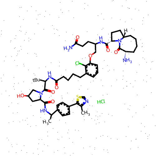 Cc1ncsc1-c1ccc(C(C)NC(=O)C2CC(O)CN2C(=O)C(NC(=O)CCCCc2cccc(OCC(CCC(N)=O)NC(=O)[C@@H]3CC[C@@H]4CCCC[C@H](N)C(=O)N43)c2Cl)C(C)(C)C)cc1.Cl